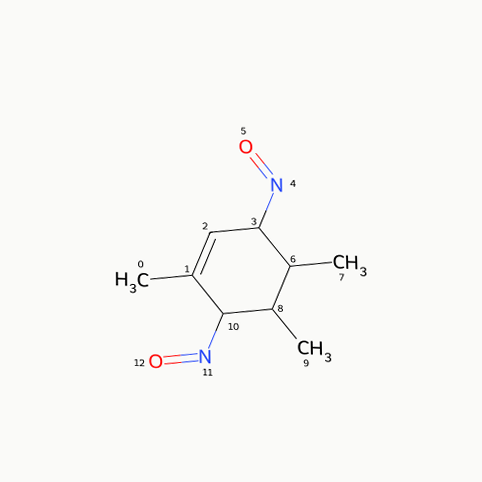 CC1=CC(N=O)C(C)C(C)C1N=O